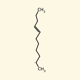 C[CH]CCCCC=CCCC